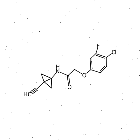 C#CC12CC1(NC(=O)COc1ccc(Cl)c(F)c1)C2